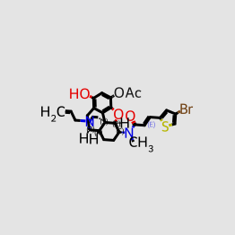 C=CCN1CC[C@]23c4c5c(O)cc(OC(C)=O)c4O[C@H]2[C@@H](N(C)C(=O)/C=C/c2cc(Br)cs2)CC[C@H]3[C@H]1C5